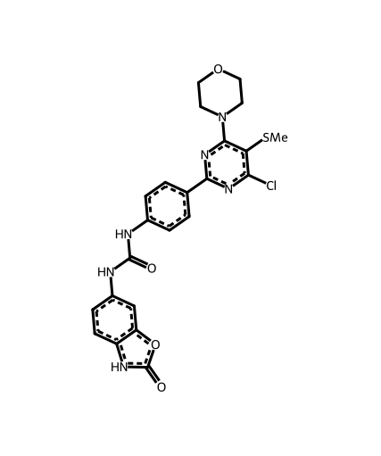 CSc1c(Cl)nc(-c2ccc(NC(=O)Nc3ccc4[nH]c(=O)oc4c3)cc2)nc1N1CCOCC1